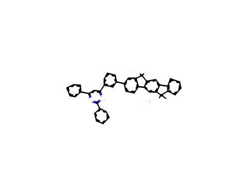 CC1(C)c2ccccc2-c2cc3c(cc21)-c1ccc(-c2cccc(-c4cc(-c5ccccc5)nc(-c5ccccc5)n4)c2)cc1C3(C)C